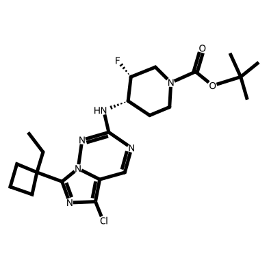 CCC1(c2nc(Cl)c3cnc(N[C@H]4CCN(C(=O)OC(C)(C)C)C[C@H]4F)nn23)CCC1